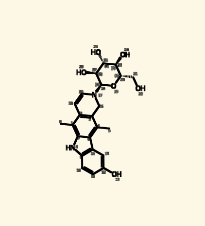 Cc1c2c(c(C)c3c1[nH]c1ccc(O)cc13)CN([C@@H]1O[C@@H](CO)[C@H](O)[C@@H](O)[C@@H]1O)C=C2